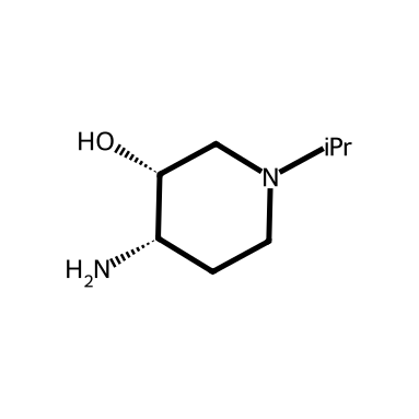 CC(C)N1CC[C@H](N)[C@H](O)C1